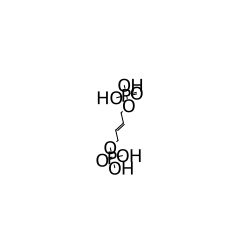 O=P(O)(O)OC/C=C/COP(=O)(O)O